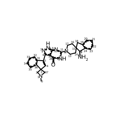 CN1CC2(C=C(c3n[nH]c4nc(N5CCC6(CC5)Cc5ccccc5[C@H]6N)[nH]c(=O)c34)c3ccccc32)C1